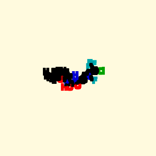 BC(B)(B)C(B)(B)S(=O)(=O)c1ccc([C@H](CO)NC(=O)c2ccc3c(c2)cc(Cc2ccc(Cl)cc2C(F)(F)F)n3CCF)nc1